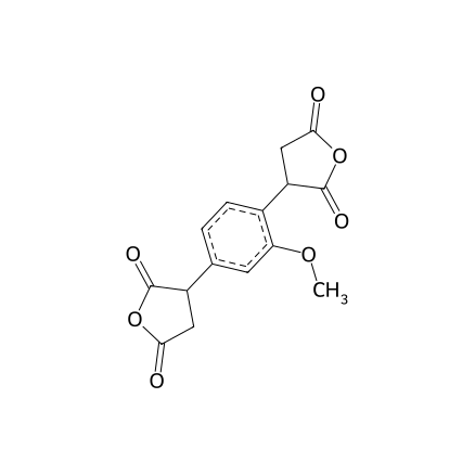 COc1cc(C2CC(=O)OC2=O)ccc1C1CC(=O)OC1=O